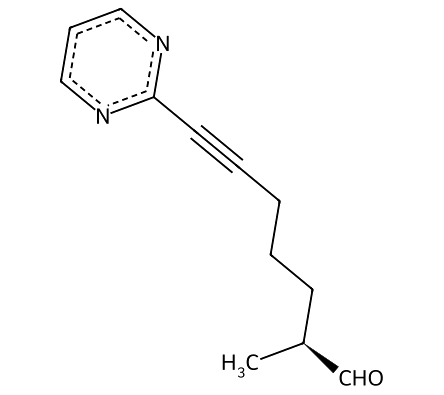 C[C@H](C=O)CCCC#Cc1ncccn1